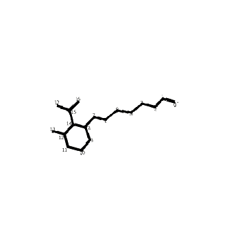 [CH2]CCCCCCCC1CCCC(C)C1C(C)C